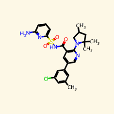 Cc1cc(Cl)cc(-c2cnc(N3CC(C)CC3(C)C)c(C(=O)NS(=O)(=O)c3cccc(N)n3)c2)c1